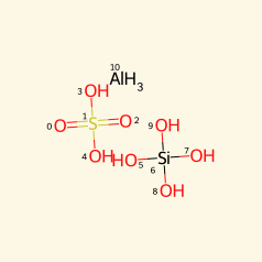 O=S(=O)(O)O.O[Si](O)(O)O.[AlH3]